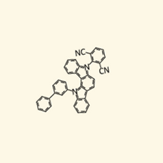 N#Cc1cccc(C#N)c1-n1c2ccccc2c2c1ccc1c3ccccc3n(-c3cccc(-c4ccccc4)c3)c12